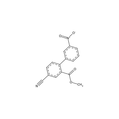 COC(=O)c1cc(C#N)ccc1-c1cccc([N+](=O)[O-])c1